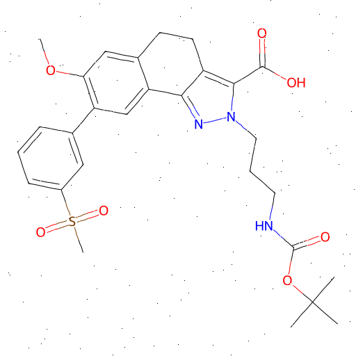 COc1cc2c(cc1-c1cccc(S(C)(=O)=O)c1)-c1nn(CCCNC(=O)OC(C)(C)C)c(C(=O)O)c1CC2